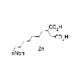 CCCCCCCCCCCCCCCCC(CC(=O)O)C(=O)O.[Zn]